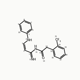 N=C(/C=C\Nc1ccccc1)NC(=O)Cc1ccccc1C(F)(F)F